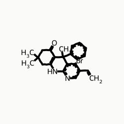 C=Cc1cnc2c(c1Br)C(C)(c1ccccc1)C1=C(CC(C)(C)CC1=O)N2